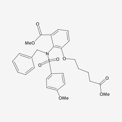 COC(=O)CCCCOc1cccc(C(=O)OC)c1N(Cc1ccccc1)S(=O)(=O)c1ccc(OC)cc1